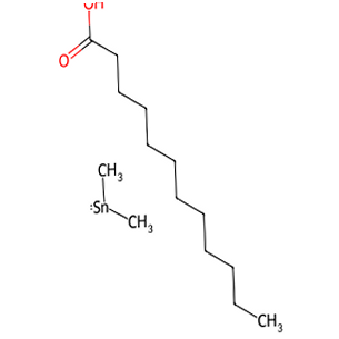 CCCCCCCCCCCC(=O)O.[CH3][Sn][CH3]